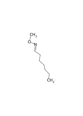 [CH2]CCCCC/C=N/OC